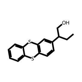 CCC(CO)c1ccc2c(c1)Sc1ccccc1S2